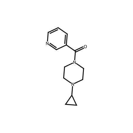 O=C(c1cccnc1)N1CCN(C2CC2)CC1